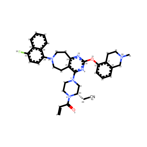 C=CC(=O)N1CCN(c2nc(Oc3cccc4c3CCN(C)C4)nc3c2CCN(c2ccc(F)c4ccccc24)CC3)C[C@@H]1CC#N